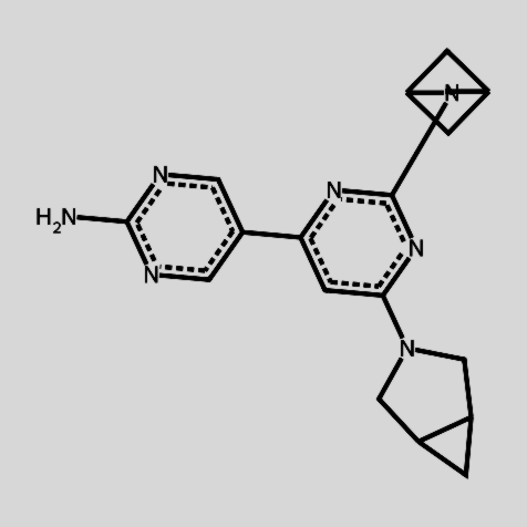 Nc1ncc(-c2cc(N3CC4CC4C3)nc(N3CC4CC3C4)n2)cn1